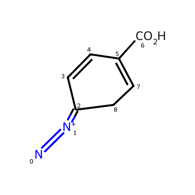 [N-]=[N+]=C1C=CC(C(=O)O)=CC1